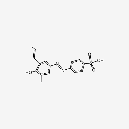 CC=Cc1cc(N=Nc2ccc(S(=O)(=O)O)cc2)cc(C)c1O